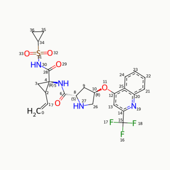 C=CC1C[C@]1(NC(=O)[C@@H]1C[C@@H](Oc2cc(C(F)(F)F)nc3ccccc23)CN1)C(=O)NS(=O)(=O)C1CC1